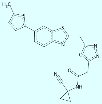 Cc1ccc(-c2ccc3nc(Cc4nnc(CC(=O)NC5(C#N)CC5)o4)sc3c2)s1